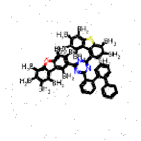 Bc1c(B)c(B)c2c(oc3c(B)c(B)c(-c4nc(-c5ccccc5-c5ccccc5-c5ccccc5)nc(-c5c(B)c(B)c(B)c6sc7c(B)c(B)c(B)c(B)c7c56)n4)c(B)c32)c1B